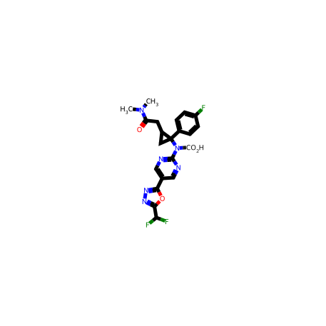 CN(C)C(=O)CC1CC1(c1ccc(F)cc1)N(C(=O)O)c1ncc(-c2nnc(C(F)F)o2)cn1